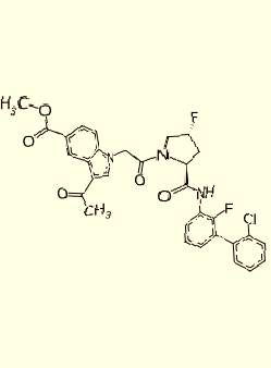 COC(=O)c1ccc2c(c1)c(C(C)=O)cn2CC(=O)N1C[C@H](F)C[C@H]1C(=O)Nc1cccc(-c2ccccc2Cl)c1F